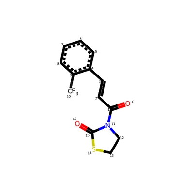 O=C(C=Cc1ccccc1C(F)(F)F)N1CCSC1=O